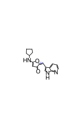 O=C1C=C(NC2CCCC2)O/C1=C/c1c[nH]c2ncccc12